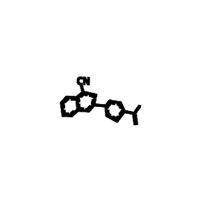 C=C(C)c1ccc(-c2cc(C#N)c3ccccc3c2)cc1